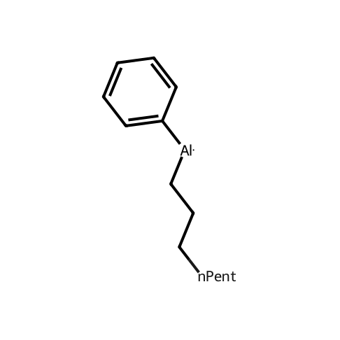 CCCCCCC[CH2][Al][c]1ccccc1